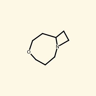 C1COCCC2CCN2C1